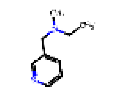 [CH2]CN(C)Cc1cccnc1